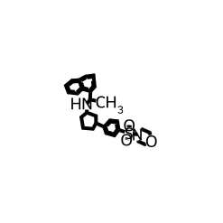 CC(NC1CCCC(c2ccc(S(=O)(=O)N3CCOCC3)cc2)C1)c1cccc2ccccc12